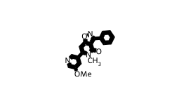 COc1cncc(-c2cc3onc(-c4ccccc4)c3c(=O)n2C)c1